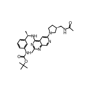 CC(=O)NC[C@@H]1CCN(c2cc3c(N[C@H](C)c4cccc(NC(=O)OC(C)(C)C)c4)nc(C)nc3cn2)C1